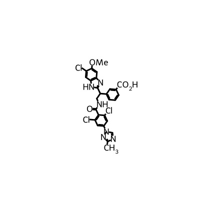 COc1cc2nc(C(CNC(=O)c3c(Cl)cc(-n4cnc(C)n4)cc3Cl)c3cccc(C(=O)O)c3)[nH]c2cc1Cl